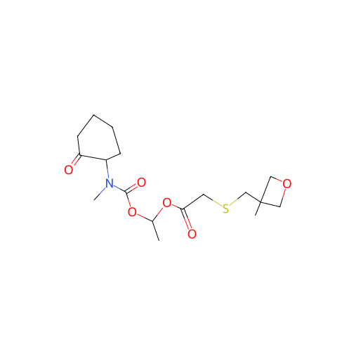 CC(OC(=O)CSCC1(C)COC1)OC(=O)N(C)C1CCCCC1=O